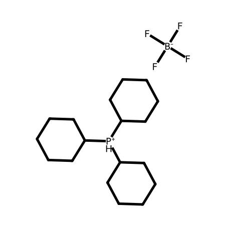 C1CCC([PH+](C2CCCCC2)C2CCCCC2)CC1.F[B-](F)(F)F